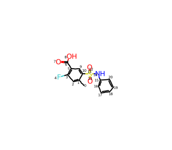 Cc1cc(F)c(C(=O)O)cc1S(=O)(=O)Nc1ccccc1